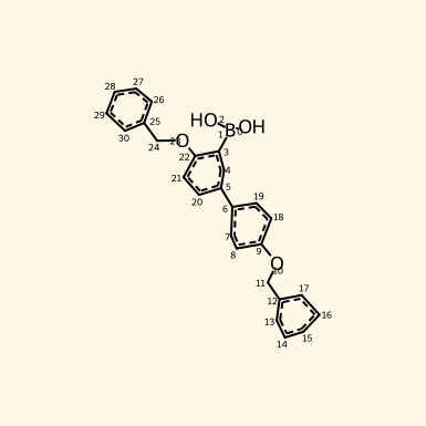 OB(O)c1cc(-c2ccc(OCc3ccccc3)cc2)ccc1OCc1ccccc1